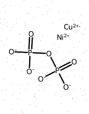 O=P([O-])([O-])OP(=O)([O-])[O-].[Cu+2].[Ni+2]